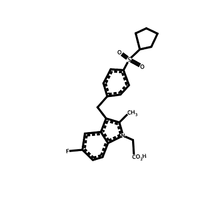 Cc1c(Cc2ccc(S(=O)(=O)C3CCCC3)cc2)c2cc(F)ccc2n1CC(=O)O